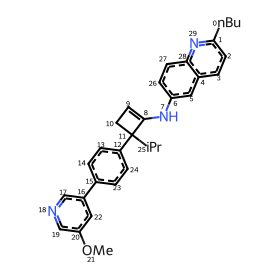 CCCCc1ccc2cc(NC3=CCC3(c3ccc(-c4cncc(OC)c4)cc3)C(C)C)ccc2n1